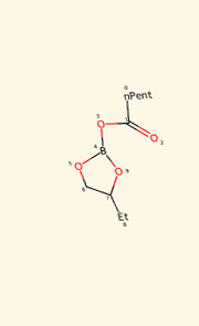 CCCCCC(=O)OB1OCC(CC)O1